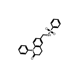 O=C1CCc2cc(CNS(=O)(=O)c3ccccc3)ccc2N1c1ccccc1